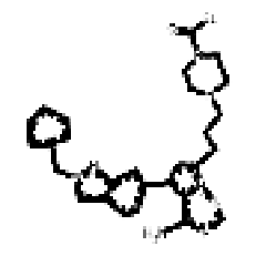 CCC(=O)N1CCN(CCCc2cc(-c3ccc4cn(Cc5ccccc5)nc4c3)c3c(N)ncnn23)CC1